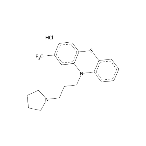 Cl.FC(F)(F)c1ccc2c(c1)N(CCCN1CCCC1)c1ccccc1S2